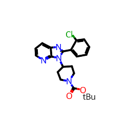 CC(C)(C)OC(=O)N1CCC(n2c(-c3ccccc3Cl)nc3cccnc32)CC1